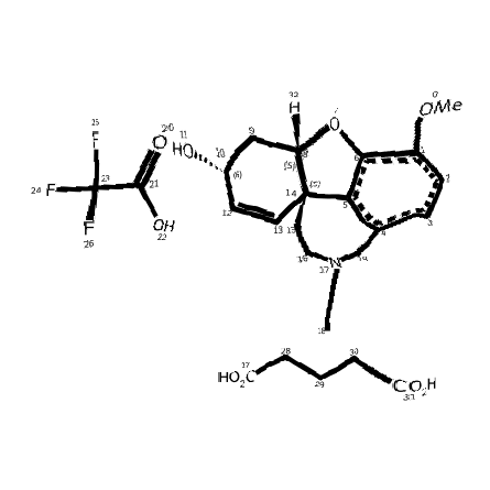 COc1ccc2c3c1O[C@H]1C[C@@H](O)C=C[C@@]31CCN(C)C2.O=C(O)C(F)(F)F.O=C(O)CCCC(=O)O